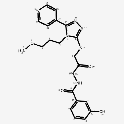 COCCCn1c(SCC(=O)NNC(=O)c2cccc(O)c2)nnc1-c1ccncc1